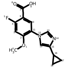 COc1cc(F)c(C(=O)O)cc1-n1cnc(C2CC2)c1